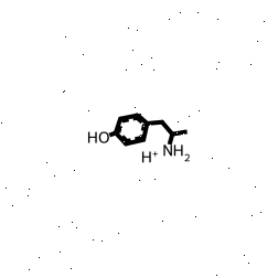 CC(N)Cc1ccc(O)cc1.[H+]